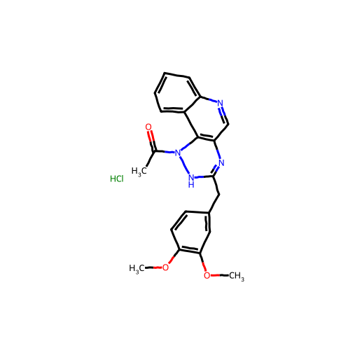 COc1ccc(CC2=Nc3cnc4ccccc4c3N(C(C)=O)N2)cc1OC.Cl